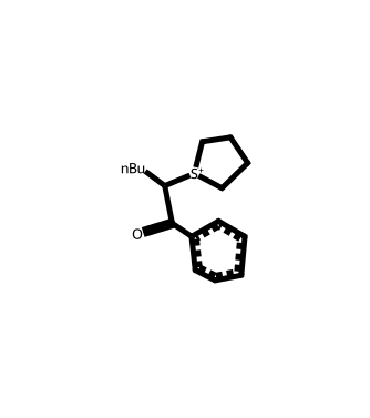 CCCCC(C(=O)c1ccccc1)[S+]1CCCC1